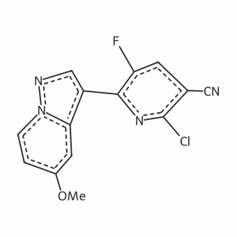 COc1ccn2ncc(-c3nc(Cl)c(C#N)cc3F)c2c1